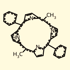 Cc1c2nc(c(-c3ccccc3)c3ccc([nH]3)c(C)c3nc(c(-c4ccccc4)c4ccc1[nH]4)C=C3)C=C2